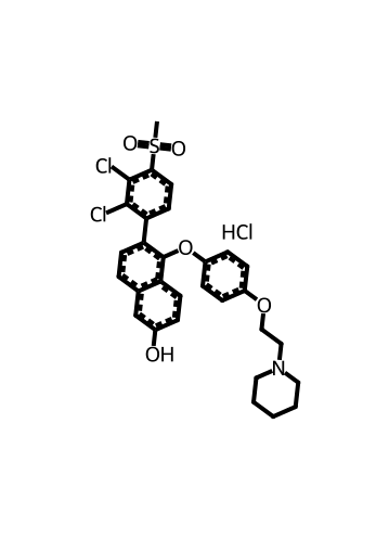 CS(=O)(=O)c1ccc(-c2ccc3cc(O)ccc3c2Oc2ccc(OCCN3CCCCC3)cc2)c(Cl)c1Cl.Cl